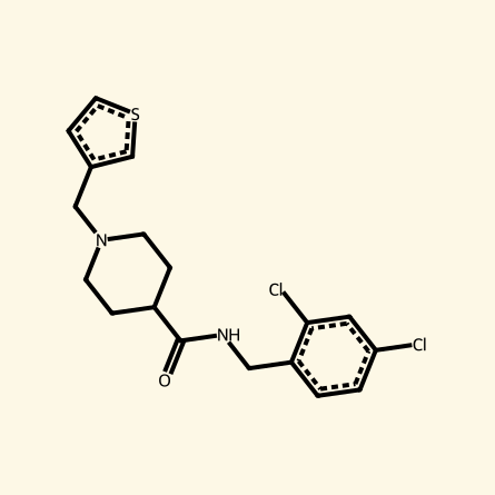 O=C(NCc1ccc(Cl)cc1Cl)C1CCN(Cc2ccsc2)CC1